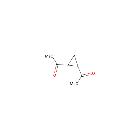 COC(=O)C1CC1C(=O)OC